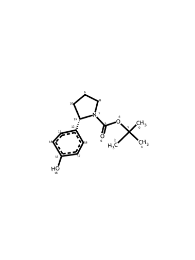 CC(C)(C)OC(=O)N1CCC[C@H]1c1ccc(O)cc1